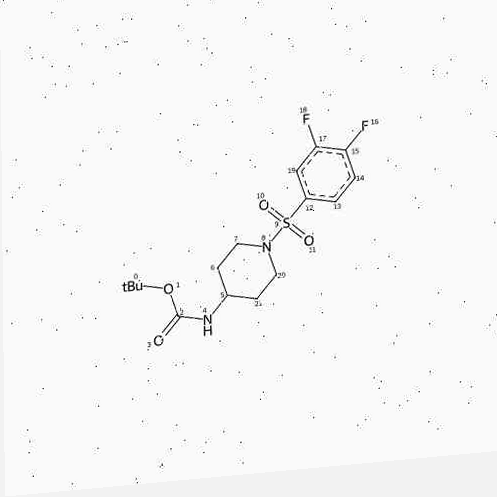 CC(C)(C)OC(=O)NC1CCN(S(=O)(=O)c2ccc(F)c(F)c2)CC1